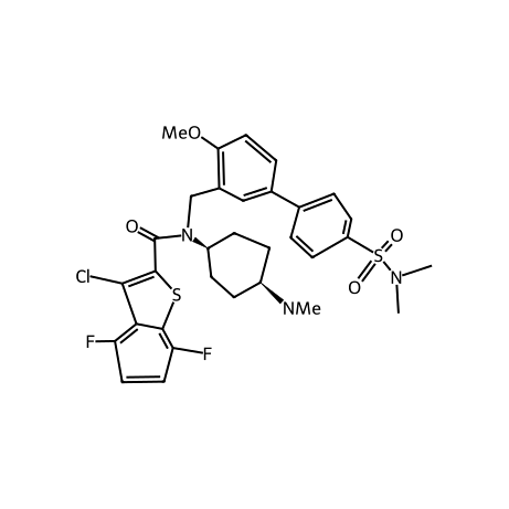 CN[C@H]1CC[C@@H](N(Cc2cc(-c3ccc(S(=O)(=O)N(C)C)cc3)ccc2OC)C(=O)c2sc3c(F)ccc(F)c3c2Cl)CC1